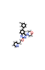 Cc1cccc(-c2ccc3nc(OCCc4ccccn4)nc(N4CCOCC4)c3c2)c1